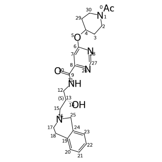 CC(=O)N1CCC(Oc2cc(C(=O)NC[C@H](O)CN3CCc4ccccc4C3)ncn2)CC1